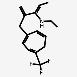 C=C(CC1=CC=C(C(F)(F)F)CC=C1)/C(=C/C)NCC